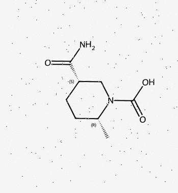 C[C@@H]1CC[C@H](C(N)=O)CN1C(=O)O